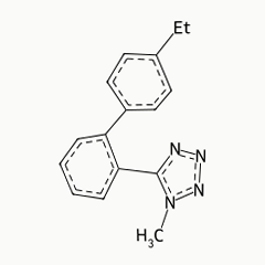 CCc1ccc(-c2ccccc2-c2nnnn2C)cc1